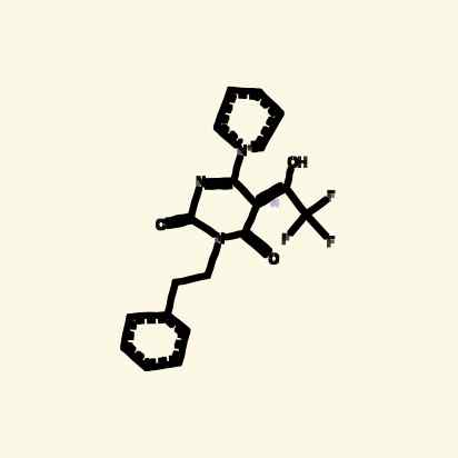 O=C1N=C([n+]2ccccc2)/C(=C(\O)C(F)(F)F)C(=O)N1CCc1ccccc1